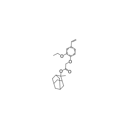 C=Cc1ccc(OCC(=O)OC2(C)C3CC4CC(C3)CC2C4)c(OCC)c1